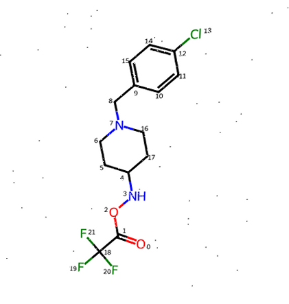 O=C(ONC1CCN(Cc2ccc(Cl)cc2)CC1)C(F)(F)F